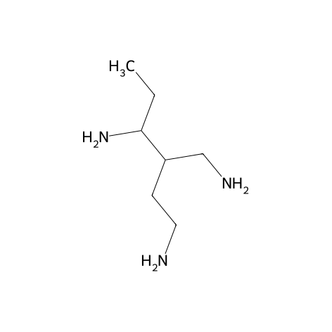 CCC(N)C(CN)CCN